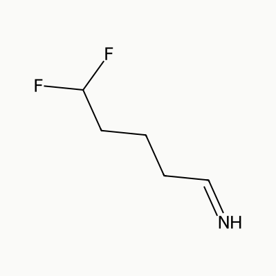 N=CCCCC(F)F